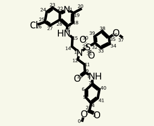 COC(=O)c1ccc(NC(=O)CCN(CCNc2cc(C)nc3ccc(Cl)cc23)S(=O)(=O)c2ccc(OC)cc2)cc1